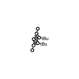 CC(C)(C)c1cc2c3c(c1)C1=CC(c4ccccc4)=CCC1N3c1cccc3c1B2c1cc(C(C)(C)C)cc2c4c(n-3c12)C=CC(c1ccccc1)C4